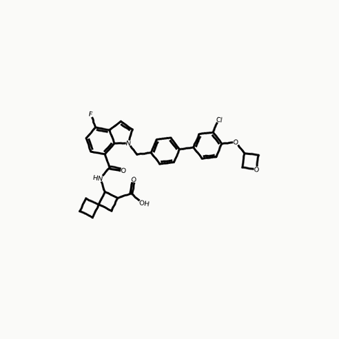 O=C(NC1C(C(=O)O)CC12CCC2)c1ccc(F)c2ccn(Cc3ccc(-c4ccc(OC5COC5)c(Cl)c4)cc3)c12